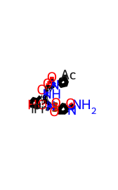 CC(=O)c1cccc(N2C[C@@H](C(=O)N[C@@H](Cc3ccccc3)[C@H](O)CN(CC(C)C)S(=O)(=O)c3ccc4nc(N)oc4c3)OC2=O)c1